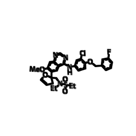 CCN(CC1(c2cc3c(Nc4ccc(OCc5cccc(F)c5)c(Cl)c4)ncnc3cc2OC)CC=CO1)S(=O)(=O)CC